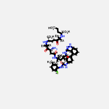 CCC(CC)(N[C@@H](CCC(=O)O)C(=O)O)C(=O)CC[C@H](NC(CC)(CC)C(=O)[C@@H](N)CC(=O)NC(C)(C)CC(C)(C)C(=O)Nc1n[nH]c2cccc(-c3ccc(NC(=O)Nc4cc(C)ccc4F)cc3)c12)C(=O)O